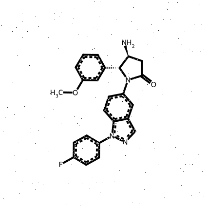 COc1cccc([C@@H]2[C@@H](N)CC(=O)N2c2ccc3c(cnn3-c3ccc(F)cc3)c2)c1